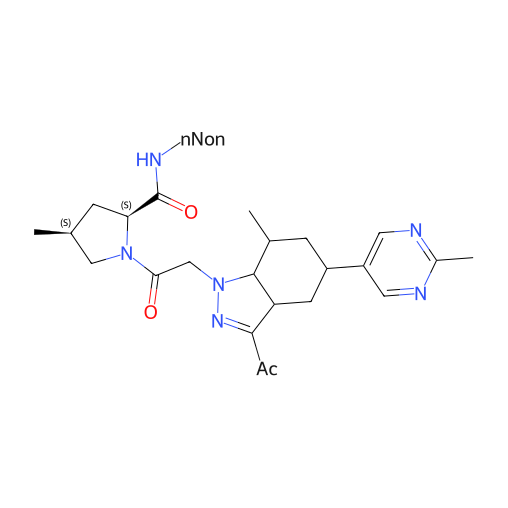 CCCCCCCCCNC(=O)[C@@H]1C[C@H](C)CN1C(=O)CN1N=C(C(C)=O)C2CC(c3cnc(C)nc3)CC(C)C21